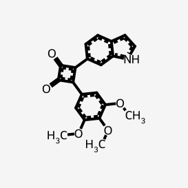 COc1cc(-c2c(-c3ccc4cc[nH]c4c3)c(=O)c2=O)cc(OC)c1OC